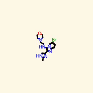 Cc1nc(-c2nc3ccc(Br)cn3c2NCCN2CCOCC2)c[nH]1